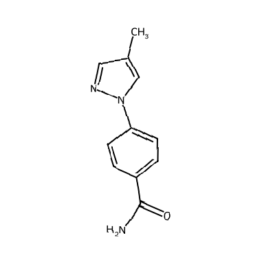 Cc1cnn(-c2ccc(C(N)=O)cc2)c1